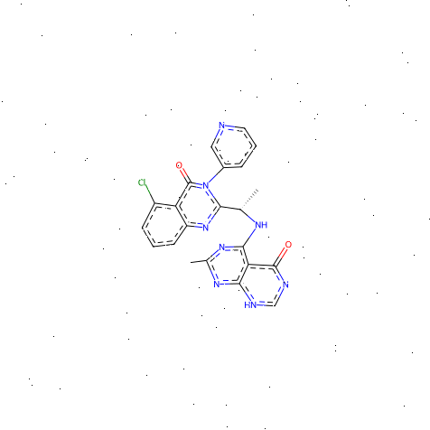 Cc1nc(N[C@@H](C)c2nc3cccc(Cl)c3c(=O)n2-c2cccnc2)c2c(=O)nc[nH]c2n1